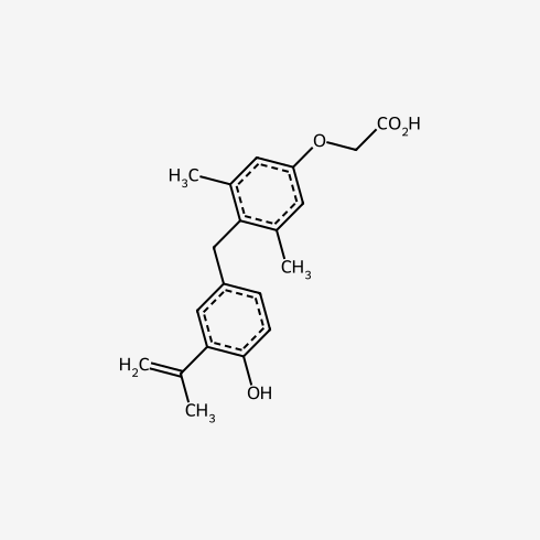 C=C(C)c1cc(Cc2c(C)cc(OCC(=O)O)cc2C)ccc1O